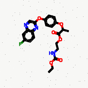 CCOC(=O)NCCOC(=O)C(C)Oc1ccc(Oc2cnc3cc(F)ccc3n2)cc1